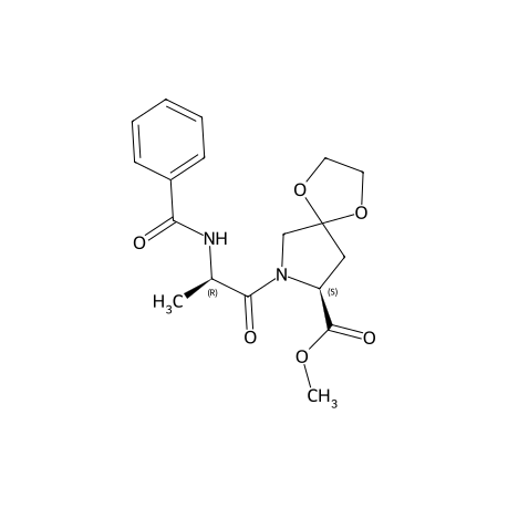 COC(=O)[C@@H]1CC2(CN1C(=O)[C@@H](C)NC(=O)c1ccccc1)OCCO2